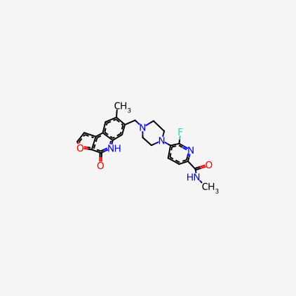 CNC(=O)c1ccc(N2CCN(Cc3cc4[nH]c(=O)c5occc5c4cc3C)CC2)c(F)n1